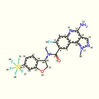 CN(C(=O)c1cc2c(cc1F)nc(N)c1cnn(C)c12)[C@H]1COc2cc(S(F)(F)(F)(F)F)ccc21